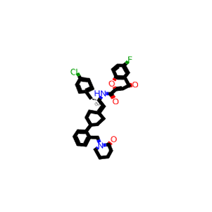 O=C(N[C@H](C=C1CCC(c2ccccc2CN2CCCCC2=O)CC1)Cc1ccc(Cl)cc1)c1cc(=O)c2cc(F)ccc2o1